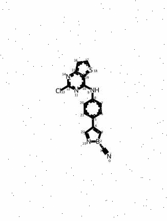 N#CB1C=C(c2ccc(Nc3nc(Cl)nc4ccsc34)cc2)C=N1